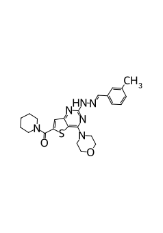 Cc1cccc(/C=N/Nc2nc(N3CCOCC3)c3sc(C(=O)N4CCCCC4)cc3n2)c1